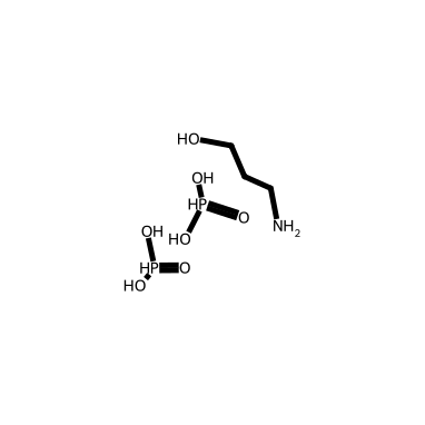 NCCCO.O=[PH](O)O.O=[PH](O)O